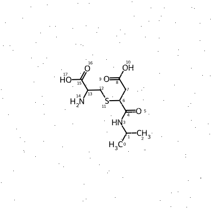 CC(C)NC(=O)C(CC(=O)O)SCC(N)C(=O)O